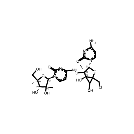 C[C@]1(O)[C@H](n2ccc(NO[C@@]3(C)[C@H](n4ccc(N)nc4=O)OC4(CCl)C(O)[C@@]43O)nc2=O)O[C@](C)(CO)[C@H]1O